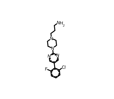 NCCCN1CCN(c2ncc(-c3c(F)cccc3Cl)cn2)CC1